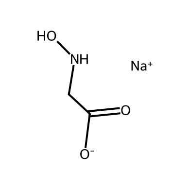 O=C([O-])CNO.[Na+]